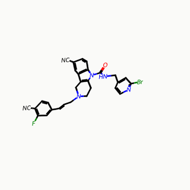 N#Cc1ccc2c(c1)c1c(n2C(=O)NCc2ccnc(Br)c2)CCN(CC=Cc2ccc(C#N)c(F)c2)C1